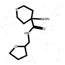 CC(=O)NC1(C(=O)NCC2CCCO2)CCSCC1